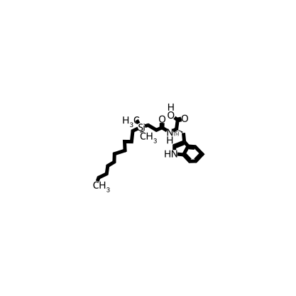 CCCCCCCCCC[Si](C)(C)CCC(=O)N[C@@H](Cc1c[nH]c2ccccc12)C(=O)O